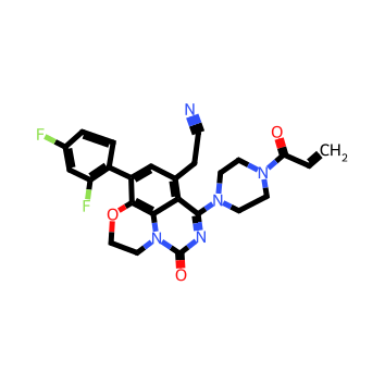 C=CC(=O)N1CCN(c2nc(=O)n3c4c(c(-c5ccc(F)cc5F)cc(CC#N)c24)OCC3)CC1